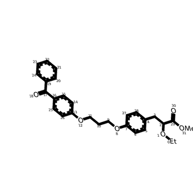 CCOC(Cc1ccc(OCCCOc2ccc(C(=O)c3ccccc3)cc2)cc1)C(=O)OC